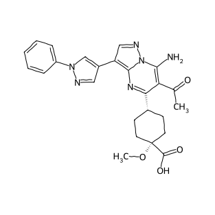 CO[C@]1(C(=O)O)CC[C@H](c2nc3c(-c4cnn(-c5ccccc5)c4)cnn3c(N)c2C(C)=O)CC1